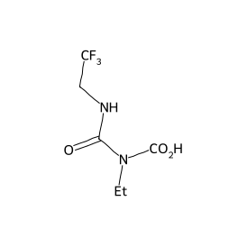 CCN(C(=O)O)C(=O)NCC(F)(F)F